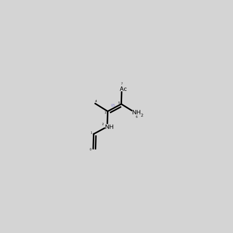 C=CN/C(C)=C(\N)C(C)=O